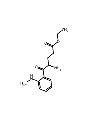 CCOC(=O)CCC(N)C(=O)c1ccccc1NC